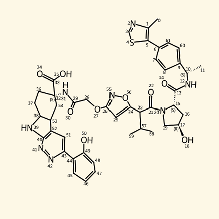 Cc1ncsc1-c1ccc([C@H](C)NC(=O)[C@@H]2C[C@@H](O)CN2C(=O)C(c2cc(OCC(=O)N[C@@]3(C(=O)O)CCC4Nc5nnc(-c6ccccc6O)cc5C4C3)no2)C(C)C)cc1